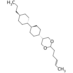 CC=CCCC1OCC([C@H]2CC[C@H]([C@H]3CC[C@H](CCC)CC3)CC2)CO1